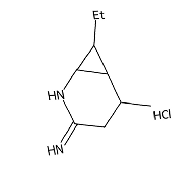 CCC1C2NC(=N)CC(C)C12.Cl